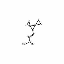 CC(C)(C)[S+]([O-])/N=C/C1C2(CC2)C12CC2